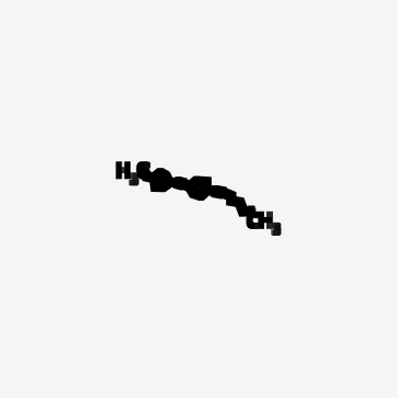 CCCCCCC#Cc1ccc(C#Cc2ccc(CC)cc2)cc1